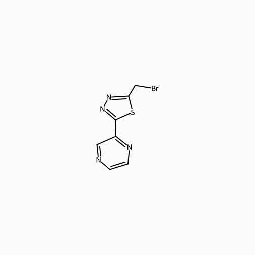 BrCc1nnc(-c2cnccn2)s1